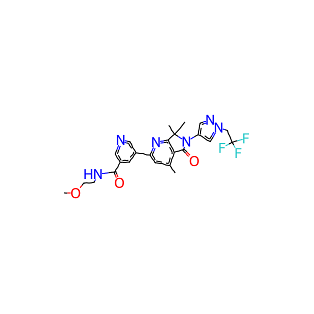 COCCNC(=O)c1cncc(-c2cc(C)c3c(n2)C(C)(C)N(c2cnn(CC(F)(F)F)c2)C3=O)c1